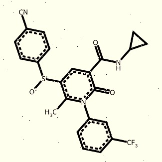 Cc1c([S+]([O-])c2ccc(C#N)cc2)cc(C(=O)NC2CC2)c(=O)n1-c1cccc(C(F)(F)F)c1